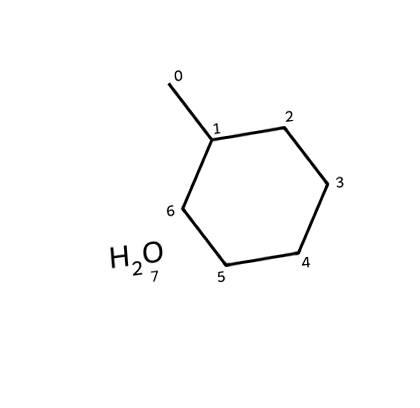 CC1CCCCC1.O